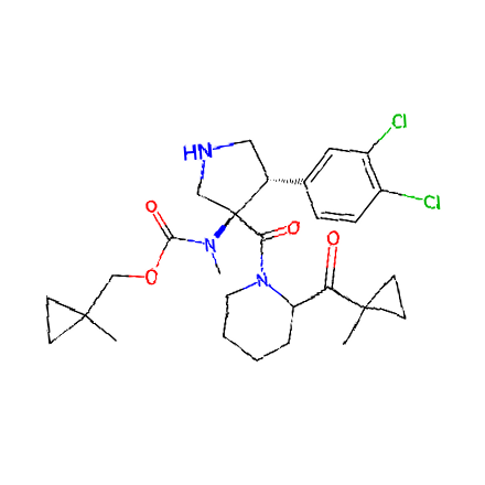 CN(C(=O)OCC1(C)CC1)[C@@]1(C(=O)N2CCCCC2C(=O)C2(C)CC2)CNC[C@@H]1c1ccc(Cl)c(Cl)c1